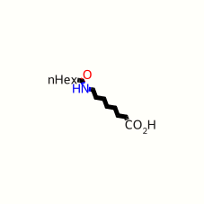 CCCCCCC(=O)NCCCCCCCC(=O)O